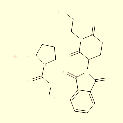 CC(C)(C)OC(=O)N1CCC[C@H]1C(=O)O.O=C1CCC(N2C(=O)c3ccccc3C2=O)C(=O)N1CCO